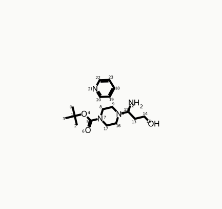 CC(C)(C)OC(=O)N1CCN(C(N)CCO)CC1.c1ccncc1